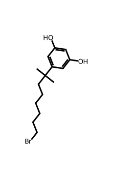 CC(C)(CCCCCCBr)c1cc(O)cc(O)c1